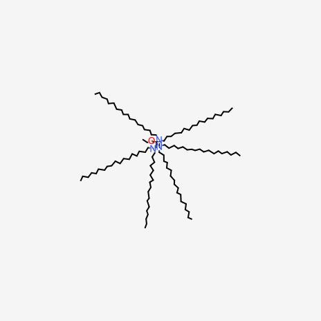 CCCCCCCCCCCCCCCCCC[N](CCCCCCCCCCCCCCCCCC)[Ti]([O]CC)([N](CCCCCCCCCCCCCCCCCC)CCCCCCCCCCCCCCCCCC)[N](CCCCCCCCCCCCCCCCCC)CCCCCCCCCCCCCCCCCC